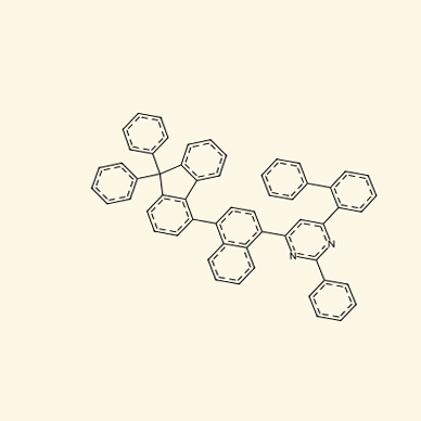 c1ccc(-c2nc(-c3ccccc3-c3ccccc3)cc(-c3ccc(-c4cccc5c4-c4ccccc4C5(c4ccccc4)c4ccccc4)c4ccccc34)n2)cc1